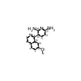 COc1ccc2ccnc(-c3ccc(N)nc3N)c2c1